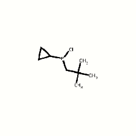 CC(C)(C)CP(Cl)C1CC1